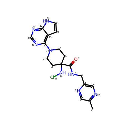 Cc1cnc(CNC(=O)C2(NCl)CCN(c3ncnc4[nH]ccc34)CC2)cn1